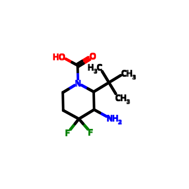 CC(C)(C)C1C(N)C(F)(F)CCN1C(=O)O